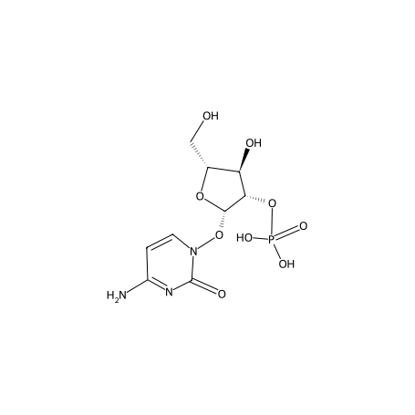 Nc1ccn(O[C@@H]2O[C@H](CO)[C@@H](O)[C@@H]2OP(=O)(O)O)c(=O)n1